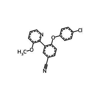 COc1cccnc1-c1cc(C#N)ccc1Oc1ccc(Cl)cc1